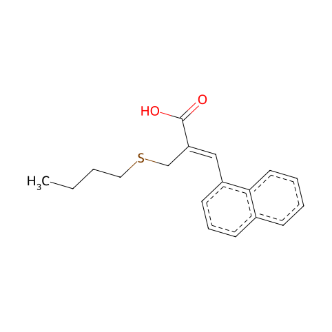 CCCCSCC(=Cc1cccc2ccccc12)C(=O)O